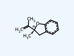 C=C(C)[C@@]1(C)Cc2ccccc2O1